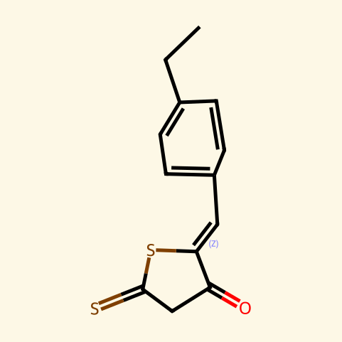 CCc1ccc(/C=C2\SC(=S)CC2=O)cc1